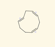 [C]1=C\C/C=C\CC/C=C/C/1